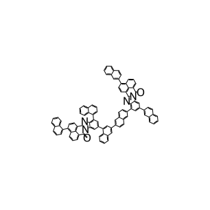 O=c1c2cccc3c(-c4ccc5ccccc5c4)ccc(c32)c2nc3c(-c4ccc5cc(-c6cc(-c7cc(-c8cccc9ccccc89)c8nc9c%10ccc(-c%11cccc%12ccccc%11%12)c%11cccc(c(=O)n9c8c7)c%11%10)c7ccccc7c6)ccc5c4)cc(-c4ccc5ccccc5c4)cc3n12